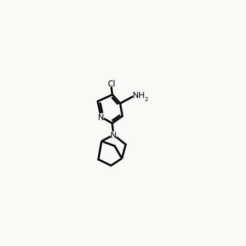 Nc1cc(N2CC3CCC2C3)ncc1Cl